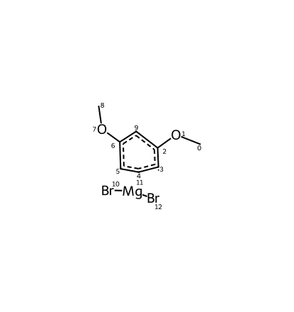 COc1[c]ccc(OC)c1.[Br][Mg][Br]